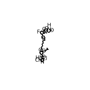 O=C1CCC(N2Cc3c(cc(F)cc3C3CCN(CCCCCCCOc4ccc(C(=O)Nc5c(Cl)cncc5Cl)cc4OCC4CC4)CC3)C2=O)C(=O)N1